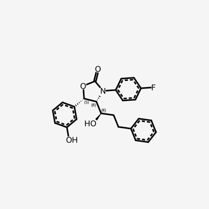 O=C1O[C@@H](c2cccc(O)c2)[C@@H]([C@H](O)CCc2ccccc2)N1c1ccc(F)cc1